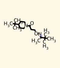 C/C(=N\OCCC(=O)N1CCC(C(C)(C)C)CC1)C(C)(C)C